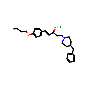 CCCCOc1ccc(C=CC(=O)CCN2CCC(Cc3ccccc3)CC2)cc1.Cl